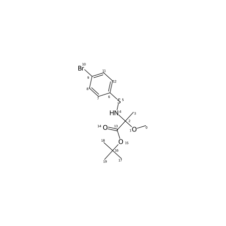 COC(C)(NSc1ccc(Br)cc1)C(=O)OC(C)(C)C